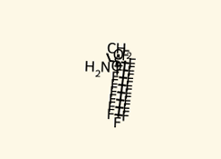 [CH2]CC(N)S(=O)(=O)C(F)(F)C(F)(F)C(F)(F)C(F)(F)C(F)(F)C(F)(F)C(F)(F)C(F)(F)F